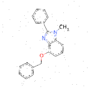 Cn1c(-c2ccccc2)nc2c(OCc3ccccc3)cccc21